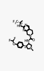 C[C@H](Nc1ncc2c(n1)CN(C(=O)N[C@@H]1CN(C)C[C@H]1c1ccc(OC(F)F)cc1)CC2)C(F)(F)F